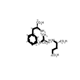 C[C@H](N)C(=O)O.N[C@@H](CCC(=O)O)C(=O)O.N[C@@H](Cc1ccccc1)C(=O)O